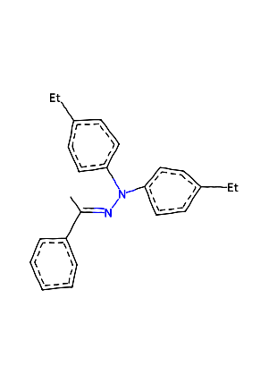 CCc1ccc(N(/N=C(\C)c2ccccc2)c2ccc(CC)cc2)cc1